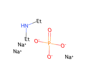 CCNCC.O=P([O-])([O-])[O-].[Na+].[Na+].[Na+]